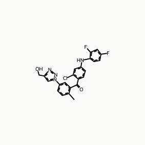 Cc1ccc(-n2cc(CO)nn2)cc1C(=O)c1ccc(Nc2ccc(F)cc2F)cc1Cl